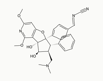 COc1cc2c(c(OC)n1)[C@]1(O)[C@H](O)[C@H](CN(C)C)[C@@H](c3ccccc3)[C@]1(c1ccc(/C=N/C#N)cc1)O2